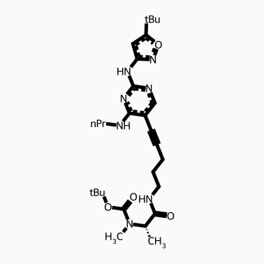 CCCNc1nc(Nc2cc(C(C)(C)C)on2)ncc1C#CCCCNC(=O)[C@H](C)N(C)C(=O)OC(C)(C)C